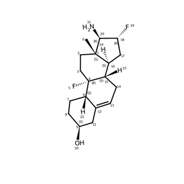 C[C@]12CC[C@]3(F)[C@H]4CC[C@H](O)CC4=CC[C@H]3[C@@H]1C[C@@H](F)[C@@H]2N